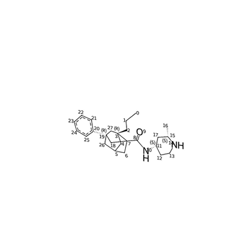 CCC[C@]12CC3CC1(C(=O)N[C@H]1CCN[C@@H](C)C1)C[C@@](c1ccccc1)(C3)C2